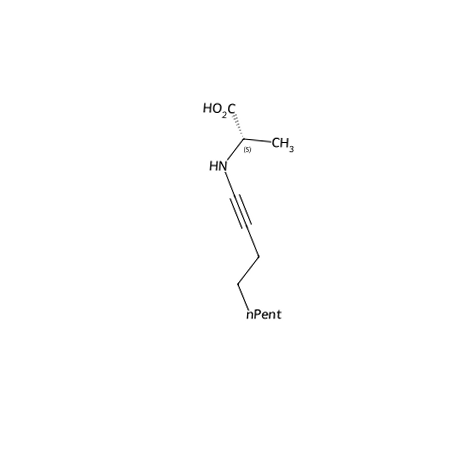 CCCCCCCC#CN[C@@H](C)C(=O)O